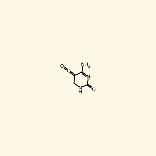 NC1=NC(=O)NCC1=C=O